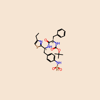 CCc1csc([C@H](Cc2ccc(N[SH](=O)=O)cc2)NC(=O)[C@@H](Cc2ccccc2)NC(=O)OC(C)(C)C)n1